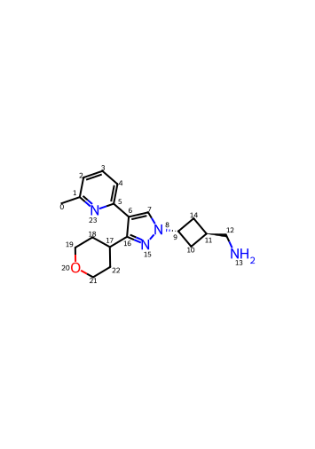 Cc1cccc(-c2cn([C@H]3C[C@H](CN)C3)nc2C2CCOCC2)n1